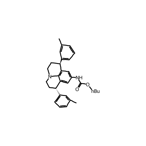 CCCCOC(=O)Nc1cc2c3c(c1)[C@H](c1cccc(C)c1)CCN3CC[C@H]2c1cccc(C)c1